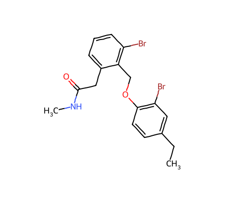 CCc1ccc(OCc2c(Br)cccc2CC(=O)NC)c(Br)c1